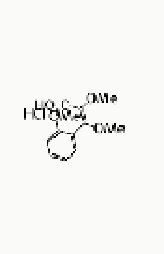 COC(C(=O)O)=C(OC)c1ccccc1OC.Cl